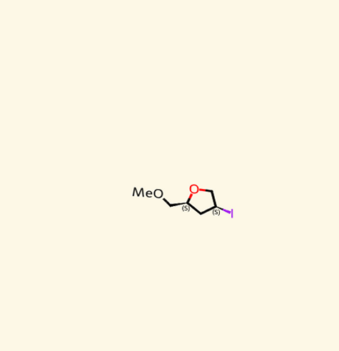 COC[C@@H]1C[C@H](I)CO1